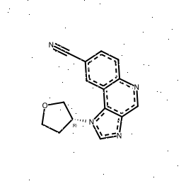 N#Cc1ccc2ncc3ncn([C@@H]4CCOC4)c3c2c1